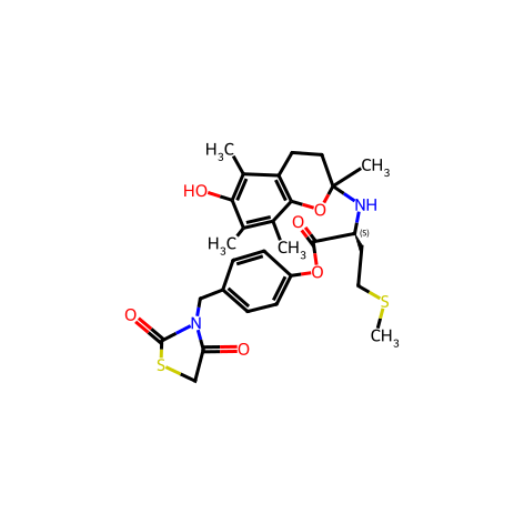 CSCC[C@H](NC1(C)CCc2c(C)c(O)c(C)c(C)c2O1)C(=O)Oc1ccc(CN2C(=O)CSC2=O)cc1